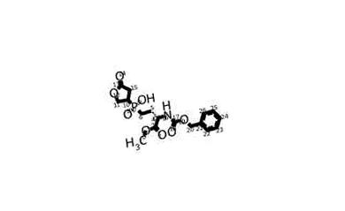 COC(=O)[C@H](CCP(=O)(O)C1COC(=O)C1)NC(=O)OCc1ccccc1